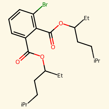 CCC(CCC(C)C)OC(=O)c1cccc(Br)c1C(=O)OC(CC)CCC(C)C